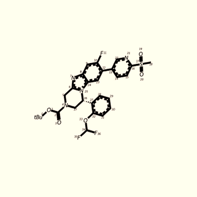 CC(C)(C)OC(=O)N1Cc2nc3cc(F)c(-c4ccc(S(C)(=O)=O)nc4)cc3n2[C@H](c2ccccc2OC(F)F)C1